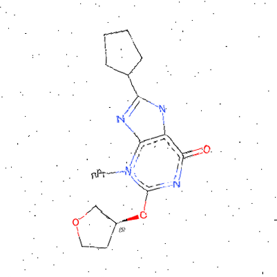 CCCn1c(O[C@H]2CCOC2)nc(=O)c2c1N=C(C1CCCC1)[N]2